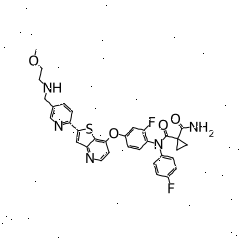 COCCNCc1ccc(-c2cc3nccc(Oc4ccc(N(C(=O)C5(C(N)=O)CC5)c5ccc(F)cc5)c(F)c4)c3s2)nc1